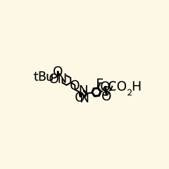 CC(C)(C)OC(=O)N1CCC(OCc2nc(-c3ccc(S(=O)(=O)CC(=O)O)c(F)c3)no2)CC1